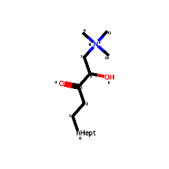 CCCCCCCCCC(=O)C(O)C[N+](C)(C)C